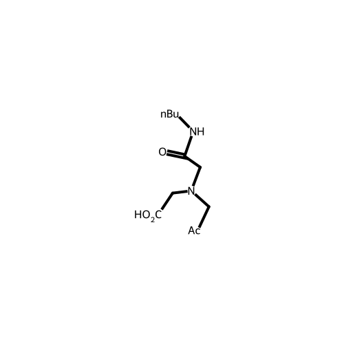 CCCCNC(=O)CN(CC(C)=O)CC(=O)O